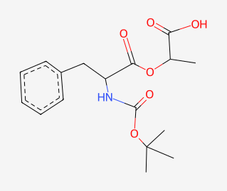 CC(OC(=O)C(Cc1ccccc1)NC(=O)OC(C)(C)C)C(=O)O